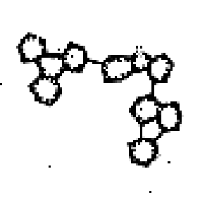 c1ccc2c(c1)-c1cccc3c(-c4cccc5oc6cc(-c7ccc8c9ccccc9c9ccccc9c8c7)ccc6c45)ccc-2c13